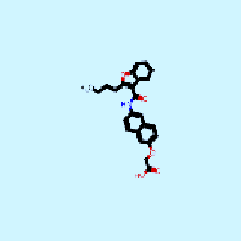 CCCCc1oc2ccccc2c1C(=O)Nc1ccc2cc(OCC(=O)O)ccc2c1